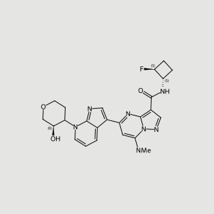 CNc1cc(-c2cnc3n(C4CCOC[C@@H]4O)cccc2-3)nc2c(C(=O)N[C@H]3CC[C@@H]3F)cnn12